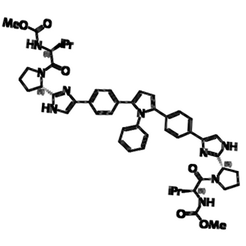 COC(=O)N[C@H](C(=O)N1CCC[C@H]1c1nc(-c2ccc(-c3ccc(-c4ccc(-c5c[nH]c([C@@H]6CCCN6C(=O)[C@@H](NC(=O)OC)C(C)C)n5)cc4)n3-c3ccccc3)cc2)c[nH]1)C(C)C